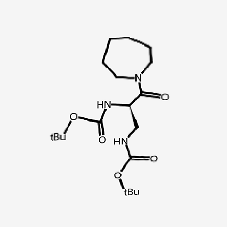 CC(C)(C)OC(=O)NC[C@@H](NC(=O)OC(C)(C)C)C(=O)N1CCCCCC1